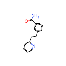 NC(=O)c1cccc(CCc2ccccn2)c1